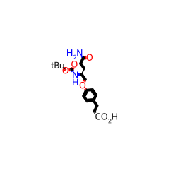 CC(C)(C)OC(=O)N[C@@H](CCC(N)=O)COc1ccc(CCC(=O)O)cc1